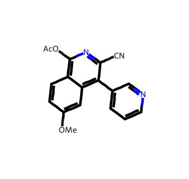 COc1ccc2c(OC(C)=O)nc(C#N)c(-c3cccnc3)c2c1